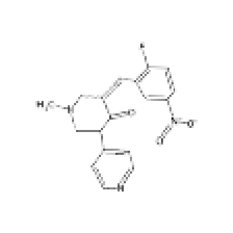 CN1CC(=Cc2cc([N+](=O)[O-])ccc2F)C(=O)C(c2ccncc2)C1